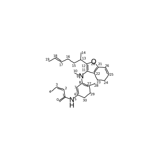 C=C(/C=C\C)NC1=CC(N(C)c2c(C(C)CC/C=C/C)oc3c2CCC=C3)=C(C)CC1